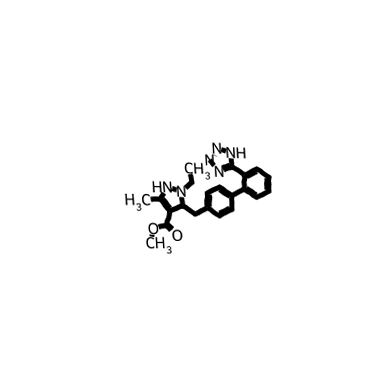 CCN1NC(C)=C(C(=O)OC)C1Cc1ccc(-c2ccccc2-c2nnn[nH]2)cc1